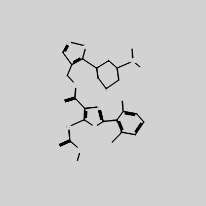 CC(C)(C)OC(=O)Nc1sc(-c2c(F)cccc2F)nc1C(=O)NCc1cn[nH]c1C1CCCC(N(C(=O)O)C(C)(C)C)C1